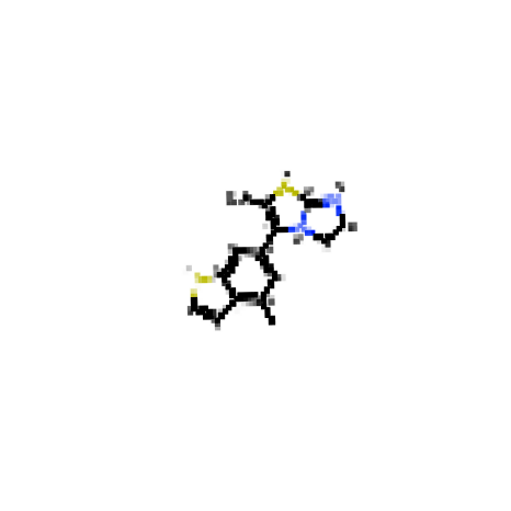 CCC1=C(c2cc(C)c3ccsc3c2)N2CCN=C2S1